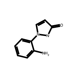 Nc1ccccc1N1C=CC(=O)[N]1